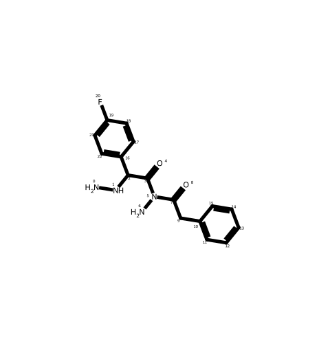 NNC(C(=O)N(N)C(=O)Cc1ccccc1)c1ccc(F)cc1